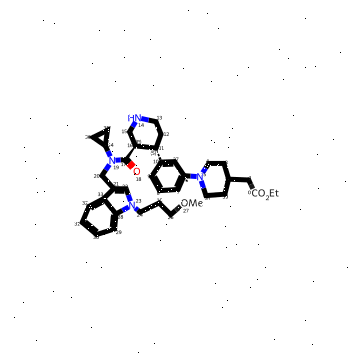 CCOC(=O)CC1CCN(c2cccc([C@H]3CCNC[C@@H]3C(=O)N(Cc3cn(CCCOC)c4ccccc34)C3CC3)c2)CC1